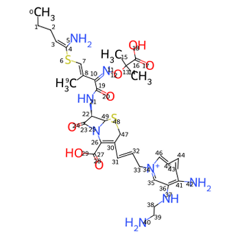 CCC/C=C(\N)S/C=C(C)/C(=N/OC(C)(C)C(=O)O)C(=O)N[C@@H]1C(=O)N2C(C(=O)O)=C(/C=C/C[N+]3=C/C(NCCN)=C(N)\C=C\C=C\3)CSC12